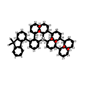 CC1(C)c2ccccc2-c2c(-c3cccc(N(c4ccc(-c5ccccc5)cc4)c4ccccc4-c4ccc(-c5ccccc5)cc4)c3-c3ccccc3)cccc21